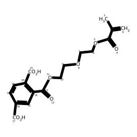 C=C(C)C(=O)OCCOCCOC(=O)c1cc(C(=O)O)ccc1C(=O)O